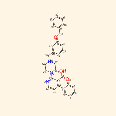 O=C(O)c1c(-c2ccccc2)ccnc1N1CCN(Cc2cccc(OCc3ccccc3)c2)CC1